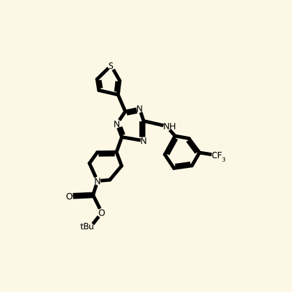 CC(C)(C)OC(=O)N1CC=C(c2nc(Nc3cccc(C(F)(F)F)c3)nc(-c3ccsc3)n2)CC1